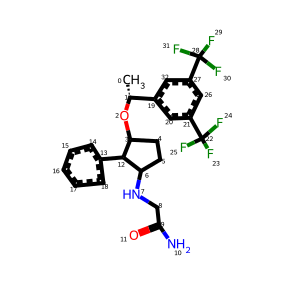 C[C@@H](OC1CCC(NCC(N)=O)C1c1ccccc1)c1cc(C(F)(F)F)cc(C(F)(F)F)c1